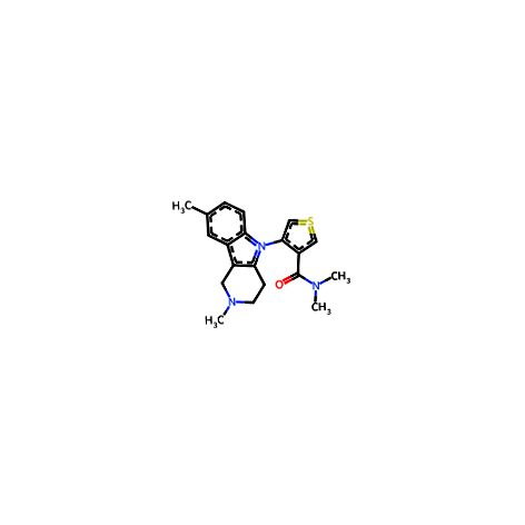 Cc1ccc2c(c1)c1c(n2-c2cscc2C(=O)N(C)C)CCN(C)C1